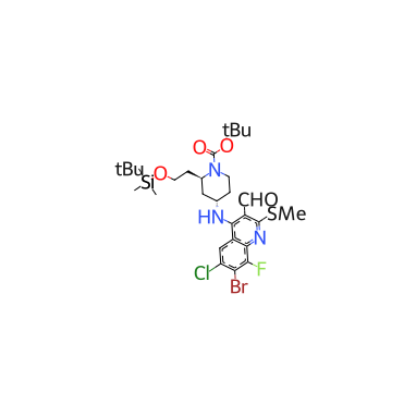 CSc1nc2c(F)c(Br)c(Cl)cc2c(N[C@H]2CCN(C(=O)OC(C)(C)C)[C@H](CCO[Si](C)(C)C(C)(C)C)C2)c1C=O